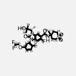 C[C@H](n1c(=O)n(-c2cc(OCC(F)F)ccc2F)c2cc(F)c(C(=O)NC3(C)CCS(=O)(=O)CC3)cc21)C(C)(C)O